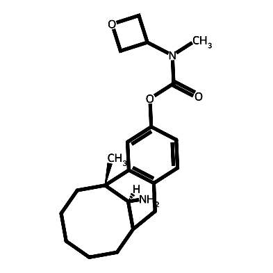 CN(C(=O)Oc1ccc2c(c1)[C@@]1(C)CCCCCC(C2)[C@@H]1N)C1COC1